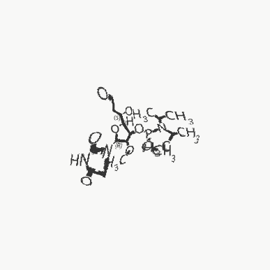 COC1C(OP(OC)N(C(C)C)C(C)C)[C@@H]([C@@H](O)CC=O)O[C@H]1n1ccc(=O)[nH]c1=O